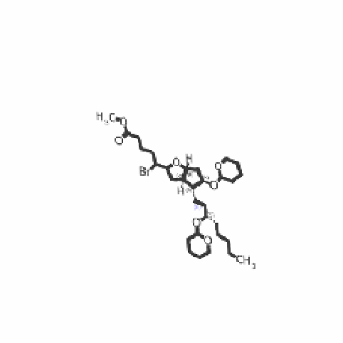 CCCCC[C@@H](/C=C/[C@@H]1[C@H]2CC(C(Br)CCCC(=O)OC)O[C@@H]2C[C@H]1OC1CCCCO1)OC1CCCCO1